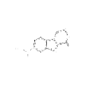 C[S+]([O-])c1ccc2c(c1)[nH]c1c(=O)[nH]ncc12